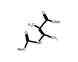 COC(=O)NC(C)=C(C)C(=O)OC